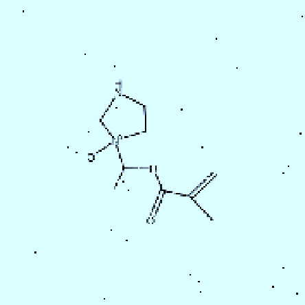 C=C(C)C(=O)OC(C)[N+]1([O-])CCNC1